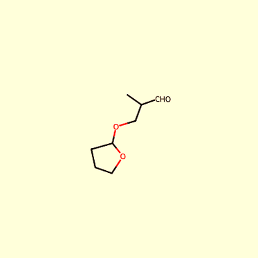 CC(C=O)COC1CCCO1